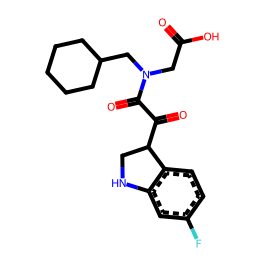 O=C(O)CN(CC1CCCCC1)C(=O)C(=O)C1CNc2cc(F)ccc21